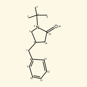 CC(C)(C)N1CC(Cc2ccccc2)CC1=O